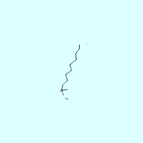 CCCCCCCCCCCCCCCC(C)(C)[SiH2]Cl